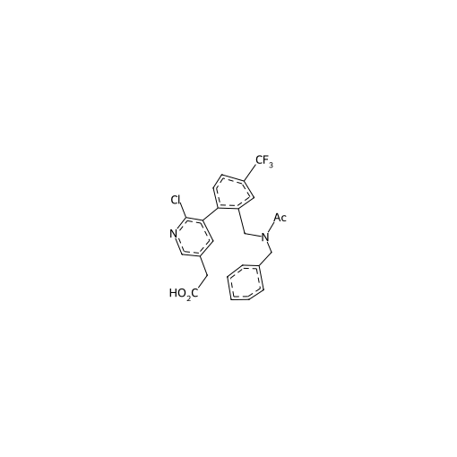 CC(=O)N(Cc1ccccc1)Cc1cc(C(F)(F)F)ccc1-c1cc(CC(=O)O)cnc1Cl